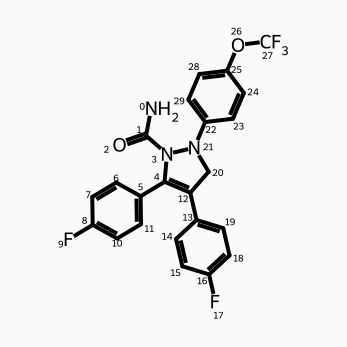 NC(=O)N1C(c2ccc(F)cc2)=C(c2ccc(F)cc2)CN1c1ccc(OC(F)(F)F)cc1